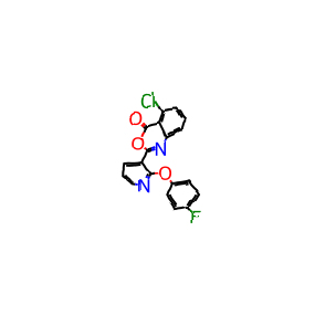 O=c1oc(-c2cccnc2Oc2ccc(F)cc2)nc2cccc(Cl)c12